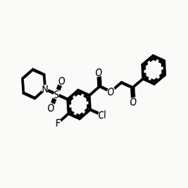 O=C(COC(=O)c1cc(S(=O)(=O)N2CCCCC2)c(F)cc1Cl)c1ccccc1